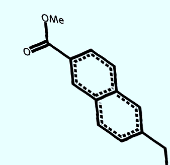 COC(=O)c1ccc2cc(CO)ccc2c1